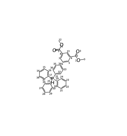 COC(=O)c1cccc(C(=O)OC)c1.c1ccc([PH](c2ccccc2)(c2ccccc2)c2ccccc2)cc1